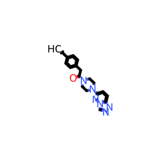 C#Cc1ccc(CC(=O)N2CCN(c3ccc4nncn4n3)CC2)cc1